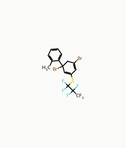 Cc1ccccc1C1(Br)[CH]C(Br)=CC(SC(F)(F)C(F)(F)C(F)(F)F)=C1